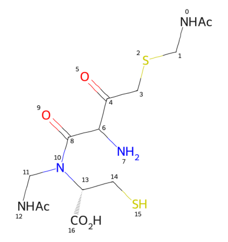 CC(=O)NCSCC(=O)C(N)C(=O)N(CNC(C)=O)[C@H](CS)C(=O)O